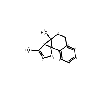 CC1=NO[C@]23c4ccccc4CC[C@@]2(C)C13